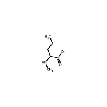 CNC(CSC)[N+](=O)[O-]